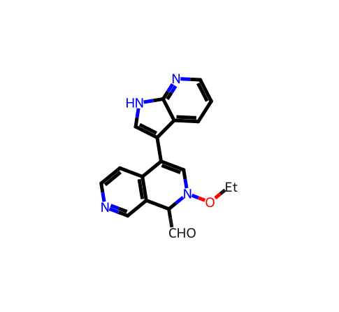 CCON1C=C(c2c[nH]c3ncccc23)c2ccncc2C1C=O